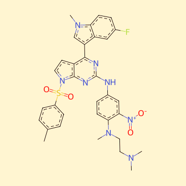 Cc1ccc(S(=O)(=O)n2ccc3c(-c4cn(C)c5ccc(F)cc45)nc(Nc4ccc(N(C)CCN(C)C)c([N+](=O)[O-])c4)nc32)cc1